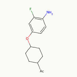 CC(=O)C1CCC(Oc2ccc(N)c(F)c2)CC1